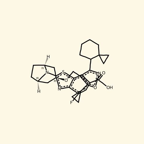 O=C(O)c1cc(F)c2nc(N3[C@@H]4CC[C@H]3C[C@@H](OCc3c(C5CCCCC56CC6)noc3C3CC3)C4)sc2c1